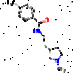 Cc1ccc(C(=O)NCCC2CCN(C)C2)cc1